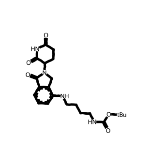 CC(C)(C)OC(=O)NCCCCNc1cccc2c1CN(C1CCC(=O)NC1=O)C2=O